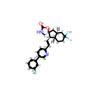 O=C1NC[C@@]2(C[C@H]3CC(F)(F)CC[C@@H]3[C@H]2/C=C/c2ccc(-c3cccc(F)c3)cn2)O1